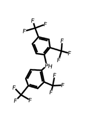 FC(F)(F)c1ccc(Pc2ccc(C(F)(F)F)cc2C(F)(F)F)c(C(F)(F)F)c1